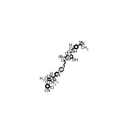 Cc1ncsc1-c1ccc([C@H](C)NC(=O)[C@@H]2C[C@@H](O)CN2C(=O)[C@@H](NC(=O)CCCN2CCN(c3ccc(C(=O)N[C@H]4C(C)(C)[C@H](Oc5ccc(C#N)c(Cl)c5)C4(C)C)cn3)CC2)C(C)(C)C)cc1